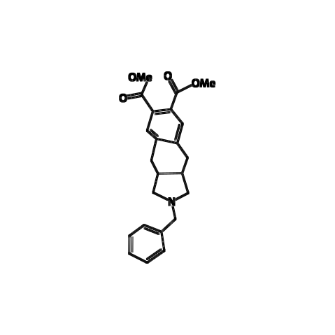 COC(=O)c1cc2c(cc1C(=O)OC)CC1CN(Cc3ccccc3)CC1C2